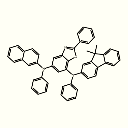 CC1(C)c2ccccc2-c2ccc(N(c3ccccc3)c3cc(N(c4ccccc4)c4ccc5ccccc5c4)cc4nc(-c5ccccc5)oc34)cc21